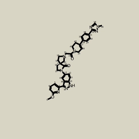 COc1cccc(-c2n[nH]c3ccc(N4CC[C@]5(CCN(CC(=O)N6CC=C(c7ccc(-c8ncn(C)n8)cc7)CC6)C5)C4=O)cc23)n1